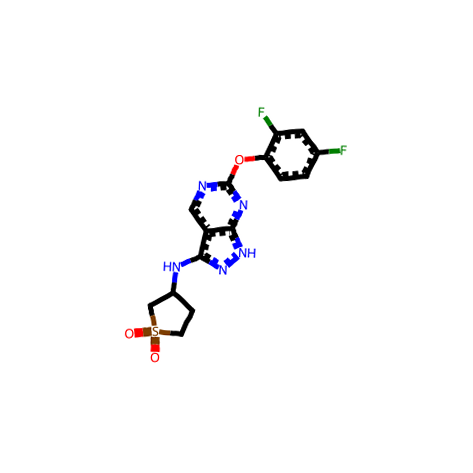 O=S1(=O)CCC(Nc2n[nH]c3nc(Oc4ccc(F)cc4F)ncc23)C1